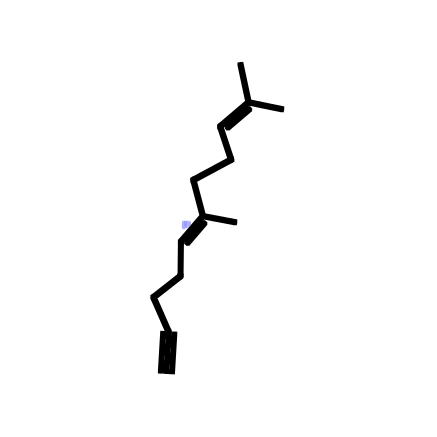 C#CCC/C=C(\C)CCC=C(C)C